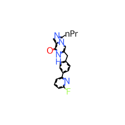 CCCc1ncc2c(=O)[nH]c(Cc3ccc(-c4cccc(F)n4)cc3)cn12